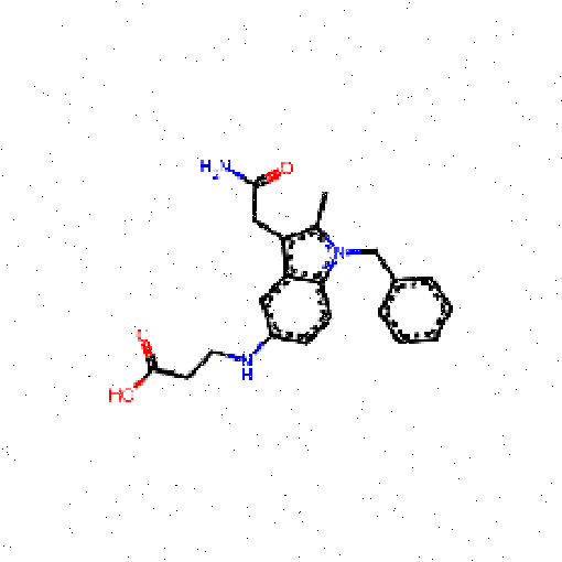 Cc1c(CC(N)=O)c2cc(NCCC(=O)O)ccc2n1Cc1ccccc1